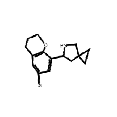 Brc1cc2c(c(C3CC4(CC4)CN3)c1)OCCC2